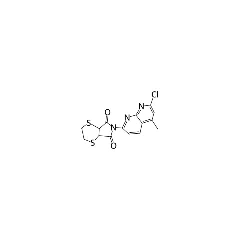 Cc1cc(Cl)nc2nc(N3C(=O)C4SCCSC4C3=O)ccc12